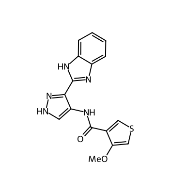 COc1cscc1C(=O)Nc1c[nH]nc1-c1nc2ccccc2[nH]1